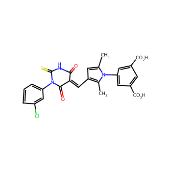 Cc1cc(/C=C2\C(=O)NC(=S)N(c3cccc(Cl)c3)C2=O)c(C)n1-c1cc(C(=O)O)cc(C(=O)O)c1